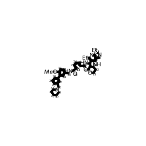 CCc1nc2c(cnn2CC)c(NC2CCOCC2)c1CNC(=O)c1cccc(C(=O)NCc2ccc(OC)c(-c3cccc(CN4CCCCC4)c3)c2)n1